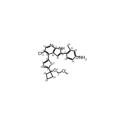 COCOC1(c2ncc(-c3c(Cl)cnc4[nH]c(-c5ccc(N)cc5C)cc34)s2)CCC1